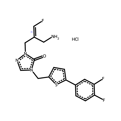 Cl.NC/C(=C\F)Cn1ncn(Cc2ccc(-c3ccc(F)c(F)c3)s2)c1=O